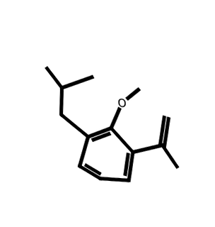 C=C(C)c1cccc(CC(C)C)c1OC